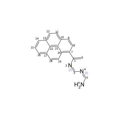 C=C(/N=C\N=C/N)c1ccc2ccc3cccc4ccc1c2c34